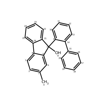 Cc1ccc2c(c1)C(O)(c1ccccc1-c1ccccc1)c1ccccc1-2